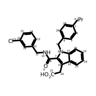 CC(C)c1ccc(Cn2c(C(=O)NCc3cccc(Cl)c3)c(CC(=O)O)c3ccccc32)cc1